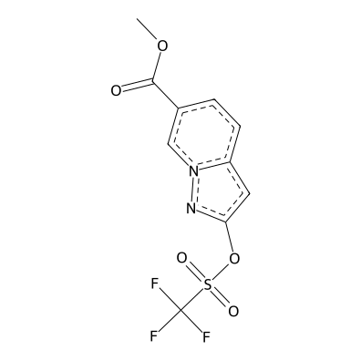 COC(=O)c1ccc2cc(OS(=O)(=O)C(F)(F)F)nn2c1